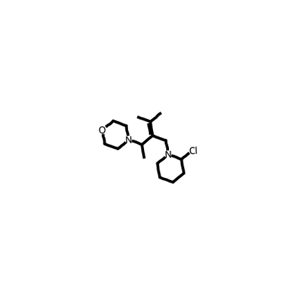 CC(C)=C(CN1CCCCC1Cl)C(C)N1CCOCC1